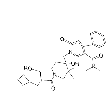 CN(C)C(=O)c1cn(C[C@]2(O)CCN(C(=O)[C@H](CO)CC3CCC3)CC2(C)C)c(=O)cc1-c1ccccc1